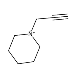 C#CC[N+]1CCCCC1